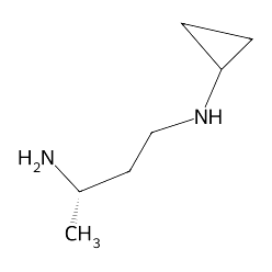 C[C@H](N)CCNC1CC1